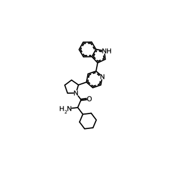 NC(C(=O)N1CCCC1c1ccnc(-c2c[nH]c3ccccc23)c1)C1CCCCC1